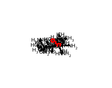 CC(C)C[C@H](NC(=O)[C@H](CC(C)C)NC(=O)[C@H](CCCCN)NC(=O)[C@H](CCCNC(=N)N)NC(=O)[C@H](Cc1ccc(O)cc1)NC(=O)[C@H](CCC(N)=O)NC(=O)[C@H](CCC(N)=O)NC(=O)[C@H](CCCCNC(=N)N)NC(=O)[C@@H](NC(=O)[C@@H](C)CC(=O)O)[C@@H](C)O)C(=O)N[C@@H](Cc1ccccc1)C(=O)N[C@@H](CO)C(N)=O